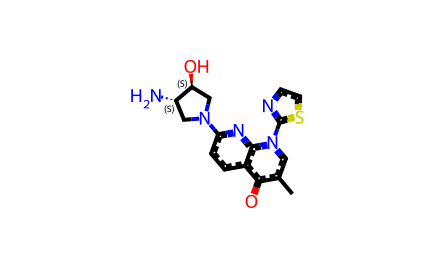 Cc1cn(-c2nccs2)c2nc(N3C[C@H](N)[C@@H](O)C3)ccc2c1=O